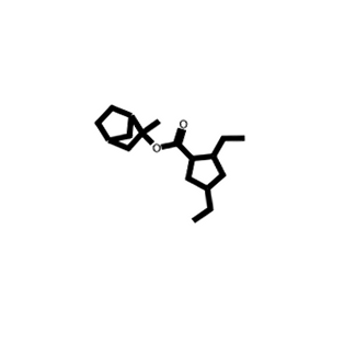 CCC1CC(CC)C(C(=O)OC2(C)CC3CCC2C3)C1